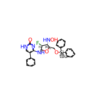 CC(C)(C)[Si](OC[C@H]1O[C@H](Nc2nc(=O)[nH]cc2-c2ccccc2)[C@@H](F)[C@@H]1NO)(c1ccccc1)c1ccccc1